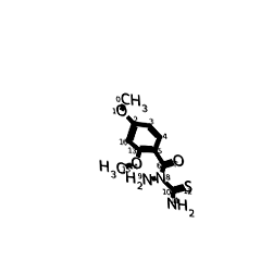 COc1ccc(C(=O)N(N)C(N)=S)c(OC)c1